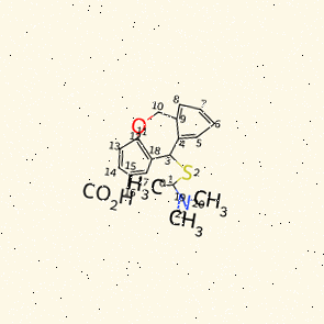 CC(SC1c2ccccc2COc2ccc(C(=O)O)cc21)N(C)C